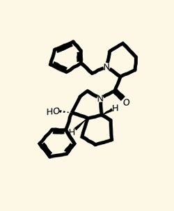 O=C(C1CCCCN1Cc1ccccc1)N1CC[C@](O)(c2ccccc2)[C@H]2CCCC[C@H]21